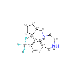 FC(F)(F)c1ccc2c3c1C1CCCC1CN3CCNC2